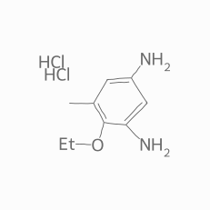 CCOc1c(C)cc(N)cc1N.Cl.Cl